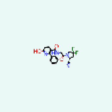 N#C[C@@H]1CC(F)(F)CN1C(=O)CNC(=O)c1ccc(O)nc1-c1ccccc1